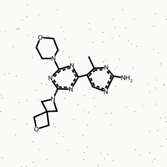 Cc1nc(N)ncc1-c1nc(N2CCOCC2)nc(N2CC3(COC3)C2)n1